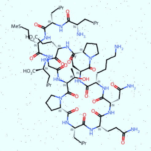 CSCC[C@H](NC(=O)[C@H](CC(C)C)NC(=O)[C@@H](N)CC(C)C)C(=O)NCC(=O)N[C@H](C(=O)N1CCC[C@H]1C(=O)N[C@@H](CC(C)C)C(=O)N[C@@H](CCC(N)=O)C(=O)N[C@@H](CC(N)=O)C(=O)N[C@@H](CCCCN)C(=O)N[C@@H](CC(C)C)C(=O)N1CCC[C@H]1C(=O)N[C@@H](CCC(=O)O)C(=O)N[C@@H](CC(C)C)C(=O)O)[C@@H](C)O